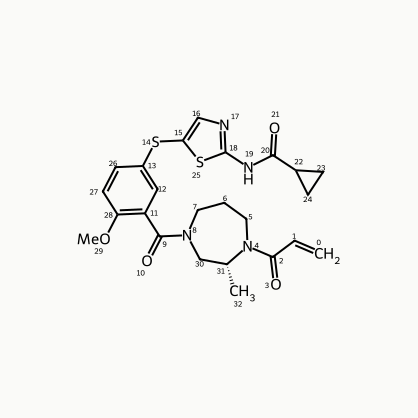 C=CC(=O)N1CCCN(C(=O)c2cc(Sc3cnc(NC(=O)C4CC4)s3)ccc2OC)C[C@H]1C